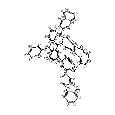 c1ccc(-c2nc(-c3ccc4c(c3)sc3ccccc34)nc(-c3cccc4oc5cc(-n6c7ccccc7c7cc8ccccc8cc76)c(-c6ccc(-c7ccccc7)c7ccccc67)cc5c34)n2)cc1